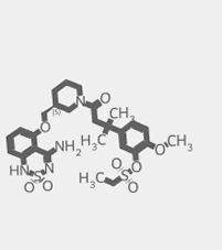 CCS(=O)(=O)Oc1cc(C(C)(C)CC(=O)N2CCC[C@H](COc3cccc4c3C(N)=NS(=O)(=O)N4)C2)ccc1OC